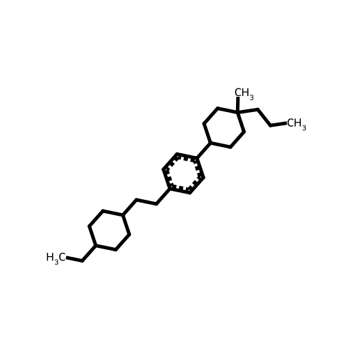 CCCC1(C)CCC(c2ccc(CCC3CCC(CC)CC3)cc2)CC1